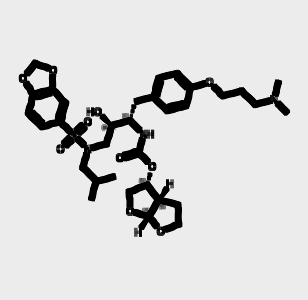 CC(C)CN(C[C@@H](O)[C@H](Cc1ccc(OCCCN(C)C)cc1)NC(=O)O[C@H]1CO[C@H]2OCC[C@H]21)S(=O)(=O)c1ccc2c(c1)OCO2